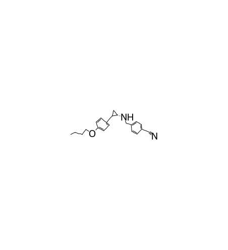 CCCCOc1ccc(C2C[C@@H]2NCc2ccc(C#N)cc2)cc1